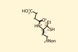 CCCCCCCCCC/C=C(/NC(=O)CCC(=O)O)C(S)CC